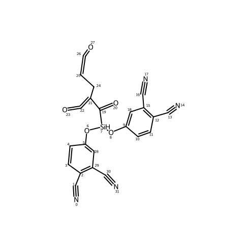 N#Cc1ccc(O[SiH](Oc2ccc(C#N)c(C#N)c2)C(=O)C(=C=O)CC=C=O)cc1C#N